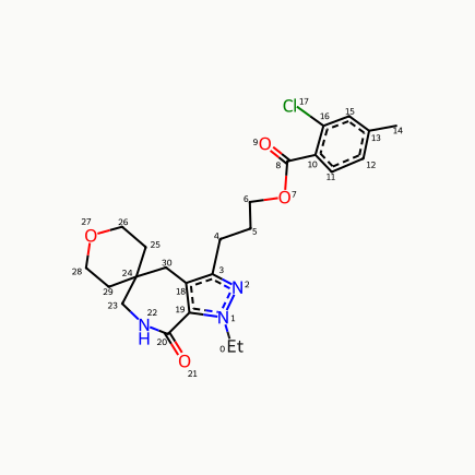 CCn1nc(CCCOC(=O)c2ccc(C)cc2Cl)c2c1C(=O)NCC1(CCOCC1)C2